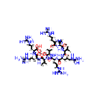 CC(C)[C@H](NC(=O)[C@H](CCCNC(=N)N)NC(=O)[C@H](CCCNC(=N)N)NC(=O)[C@@H](NC(=O)[C@@H](NC(=O)[C@@H](N)CCCNC(=N)N)C(C)C)C(C)C)C(=O)N[C@H](C(=O)N[C@@H](CCCNC(=N)N)C(=O)N[C@@H](CCCNC(=N)N)C(=O)O)C(C)C